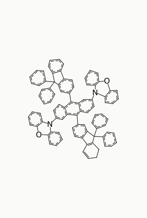 C1=CC2=C(CC1)C(c1ccccc1)(c1ccccc1)c1cc(-c3c4ccc(N5c6ccccc6Oc6ccccc65)cc4c(-c4ccc5c(c4)C(c4ccccc4)(c4ccccc4)c4ccccc4-5)c4ccc(N5c6ccccc6Oc6ccccc65)cc34)ccc12